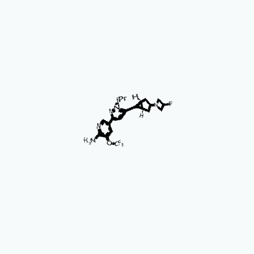 CC(C)n1nc(-c2cnc(N)c(OC(F)(F)F)c2)cc1C1[C@H]2CC(N3CC(F)C3)C[C@@H]12